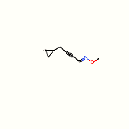 CON=CC#CCC1[CH]C1